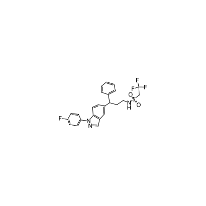 O=S(=O)(CC(F)(F)F)NCCC(c1ccccc1)c1ccc2c(cnn2-c2ccc(F)cc2)c1